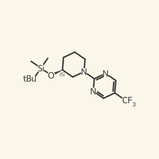 CC(C)(C)[Si](C)(C)O[C@H]1CCCN(c2ncc(C(F)(F)F)cn2)C1